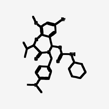 COc1cc(Br)cc2c1OC(C(C)C)C(=O)N(Cc1ccc(N(C)C)cc1)C2OC(=O)NC1CCCCC1